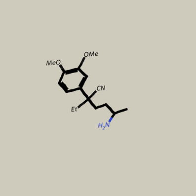 CCC(C#N)(CCC(C)N)c1ccc(OC)c(OC)c1